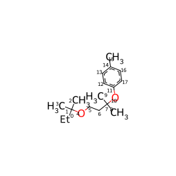 CCC(C)(C)OCCC(C)(C)Oc1ccc(C)cc1